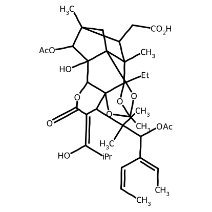 C/C=C\C(=C/C)C(OC(C)=O)C(C)(C)C1/C(=C(/O)C(C)C)C(=O)OC2C3(O)C(OC(C)=O)C4(C)CC35OC3(C)OC12C(CC)(O3)C5(C)C4CC(=O)O